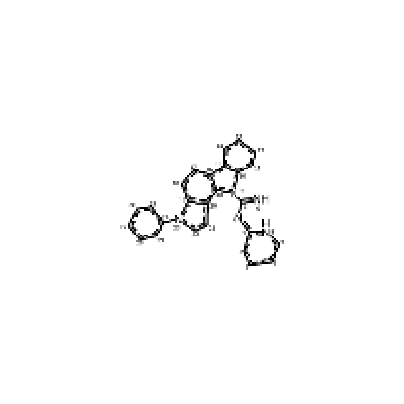 N=C(/N=c1/cccc[nH]1)n1c2ccccc2c2ccc3c(ccn3-c3ccccc3)c21